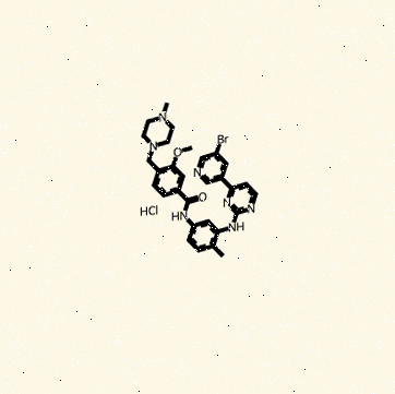 COc1cc(C(=O)Nc2ccc(C)c(Nc3nccc(-c4cncc(Br)c4)n3)c2)ccc1CN1CCN(C)CC1.Cl